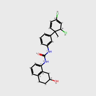 CC1(c2cccc(NC(=O)Nc3cccc4c3CC(O)CC4)c2)C=CC(Cl)=CC1Cl